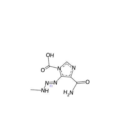 CN/N=N/c1c(C(N)=O)ncn1C(=O)O